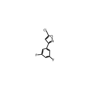 Fc1cc(F)cc(-c2cc(Cl)on2)c1